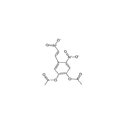 CC(=O)Oc1cc(C=C[N+](=O)[O-])c([N+](=O)[O-])cc1OC(C)=O